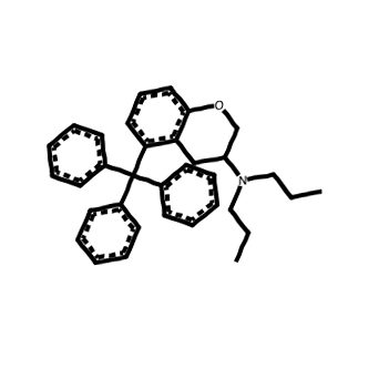 CCCN(CCC)C1COc2cccc(C(c3ccccc3)(c3ccccc3)c3ccccc3)c2C1